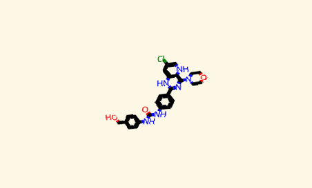 O=C(Nc1ccc(CO)cc1)Nc1ccc(C2N=C(N3CCOCC3)C3NC=C(Cl)C=C3N2)cc1